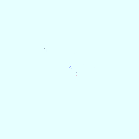 N#Cc1ccc(CN2C(=O)C3(COc4cc5c(cc43)CCO5)c3ccccc32)cc1